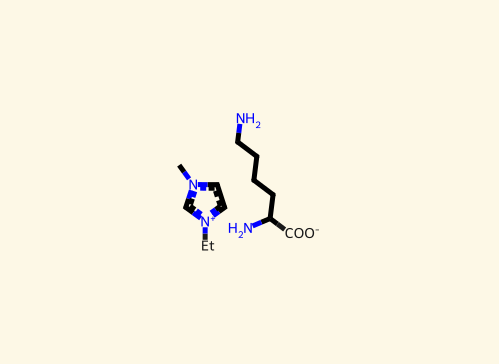 CC[n+]1ccn(C)c1.NCCCCC(N)C(=O)[O-]